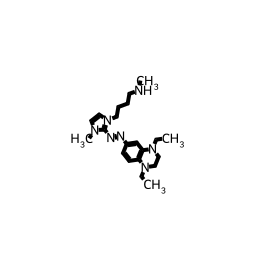 CCN1CCN(CC)c2cc(/N=N/c3n(C)cc[n+]3CCCCNC)ccc21